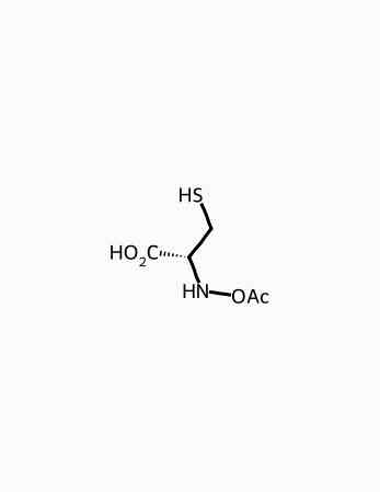 CC(=O)ON[C@@H](CS)C(=O)O